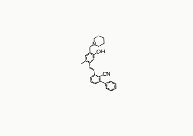 Cc1cc(CN2CCCCC2)c(O)cc1/C=C/c1cccc(-c2ccccc2)c1C#N